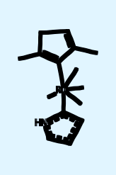 CC1=CCC(C)=[C]1[Ru]([CH3])([CH3])([CH3])([CH3])[c]1ccc[nH]1